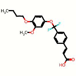 CCCCOc1ccc(OC(F)(F)c2ccc(C=CC(=O)O)cc2)cc1OC